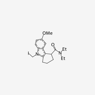 CCN(CC)C(=O)C1CCCc2c1c1cc(OC)ccc1n2CI